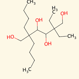 CCCCC(CO)(CCCC)C(O)C(O)C(CC)(CC)CO